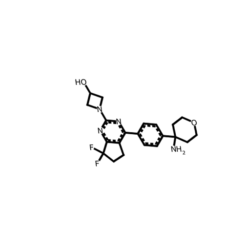 NC1(c2ccc(-c3nc(N4CC(O)C4)nc4c3CCC4(F)F)cc2)CCOCC1